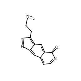 NCCC1=c2cc3c(cc2N=C1)=CC=NC3=O